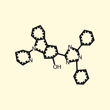 Oc1cc2c(cc1-c1nc(-c3ccccc3)nc(-c3ccccc3)n1)c1ccccc1n2-c1ccccn1